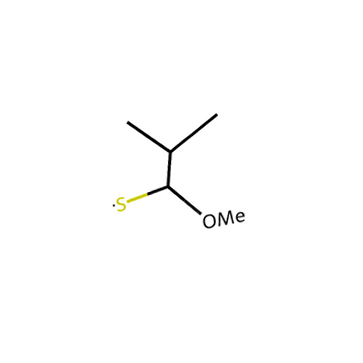 COC([S])C(C)C